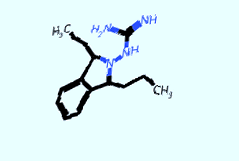 CCCC1c2ccccc2C(CCC)N1NC(=N)N